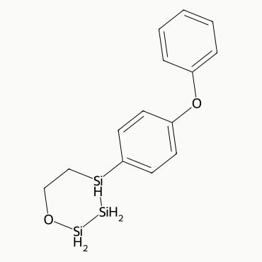 c1ccc(Oc2ccc([SiH]3CCO[SiH2][SiH2]3)cc2)cc1